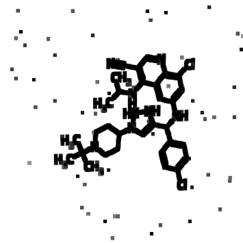 CC(C)Nc1c(C#N)cnc2c(Cl)cc(N[C@H](C3=CN(C4CCN(C(C)(C)C)CC4)NN3)c3ccc(Cl)cc3)cc12